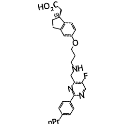 CCCc1ccc(-c2ncc(F)c(CNCCCOc3ccc4c(c3)CC[C@H]4CC(=O)O)n2)cc1